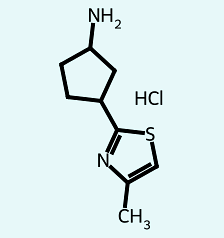 Cc1csc(C2CCC(N)C2)n1.Cl